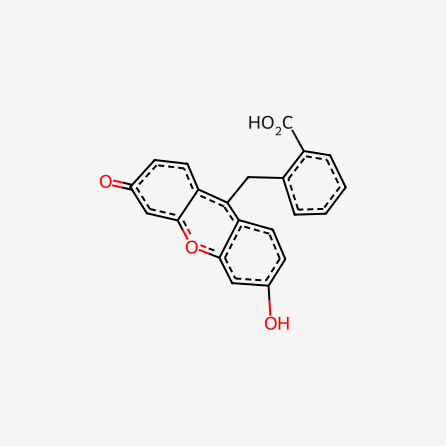 O=C(O)c1ccccc1Cc1c2ccc(=O)cc-2oc2cc(O)ccc12